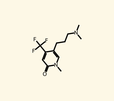 CN(C)CCCc1cn(C)c(=O)cc1C(F)(F)F